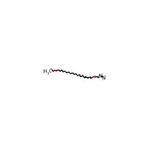 CCCCCCCCCCCCCCCCCCCCCCCCCCCCC=NC#N